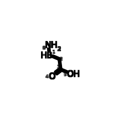 NBCC(=O)O